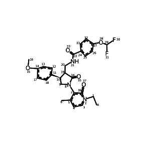 CCn1ccc(C)c(N2C[C@@H](c3ccc(OC)cc3)C(CNC(=O)c3ccc(OC(F)F)cc3)C2=O)c1=O